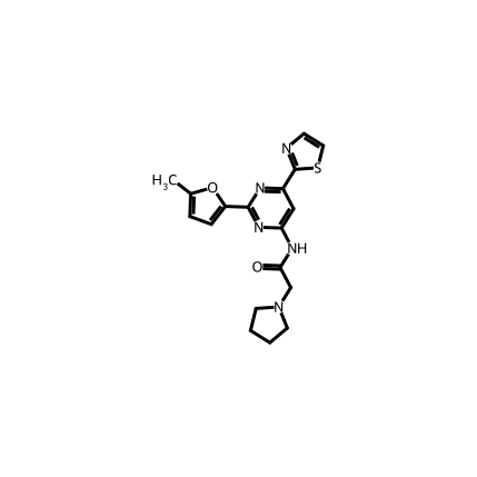 Cc1ccc(-c2nc(NC(=O)CN3CCCC3)cc(-c3nccs3)n2)o1